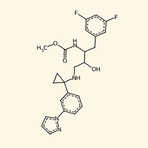 COC(=O)NC(Cc1cc(F)cc(F)c1)C(O)CNC1(c2cccc(-n3cccn3)c2)CC1